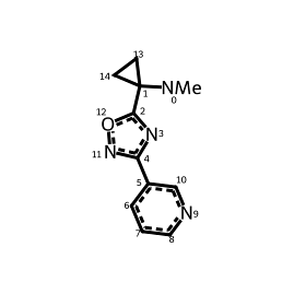 CNC1(c2nc(-c3cccnc3)no2)CC1